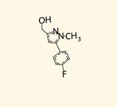 Cn1nc(CO)cc1-c1ccc(F)cc1